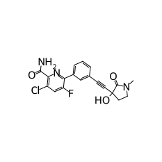 CN1CCC(O)(C#Cc2cccc(-c3nc(C(N)=O)c(Cl)cc3F)c2)C1=O